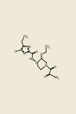 CCO[C@H]1CN(C(=O)C(N)=O)CC[C@H]1NC(=O)c1nc(Cl)c(CC)[nH]1